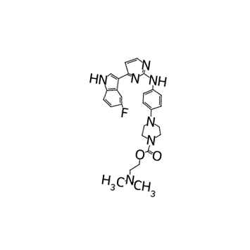 CN(C)CCOC(=O)N1CCN(c2ccc(Nc3nccc(-c4c[nH]c5ccc(F)cc45)n3)cc2)CC1